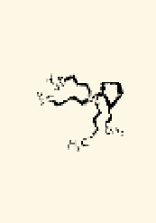 CCC[CH2][Sn]([CH2]CCC)([CH2]CCC)[C]1=C(CCC)C=CC1